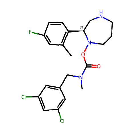 Cc1cc(F)ccc1[C@H]1CNCCCN1OC(=O)N(C)Cc1cc(Cl)cc(Cl)c1